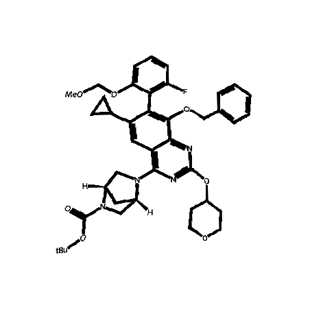 COCOc1cccc(F)c1-c1c(C2CC2)cc2c(N3C[C@@H]4C[C@H]3CN4C(=O)OC(C)(C)C)nc(OC3CCOCC3)nc2c1OCc1ccccc1